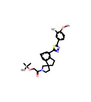 CC(C)Oc1ccc(-c2nnc(-c3cccc4c3CCC43CCN(C(=O)CO[Si](C)(C)C(C)(C)C)C3)s2)cc1C#N